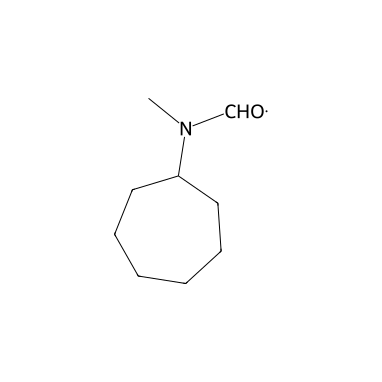 CN([C]=O)C1CCCCCC1